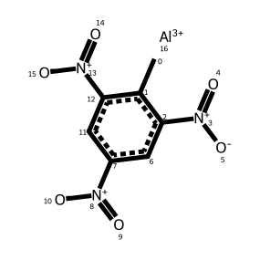 Cc1c([N+](=O)[O-])cc([N+](=O)[O-])cc1[N+](=O)[O-].[Al+3]